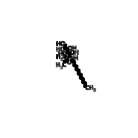 CCCCCCCCCCCCCC(=O)NC([C@H](O)[C@@H](O)[C@H](O)[C@H](O)CO)N(C)CCC